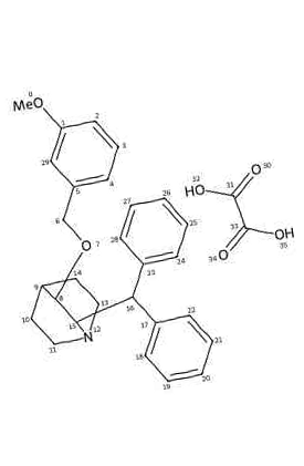 COc1cccc(COC2C3CCN(CC3)C2C(c2ccccc2)c2ccccc2)c1.O=C(O)C(=O)O